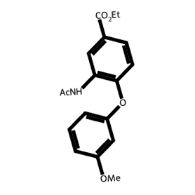 CCOC(=O)c1ccc(Oc2cccc(OC)c2)c(NC(C)=O)c1